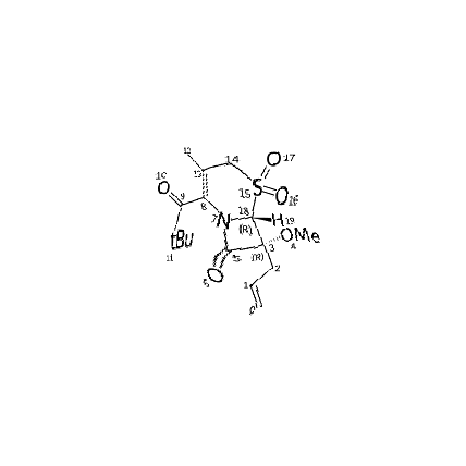 C=CC[C@@]1(OC)C(=O)N2C(C(=O)C(C)(C)C)=C(C)CS(=O)(=O)[C@@H]21